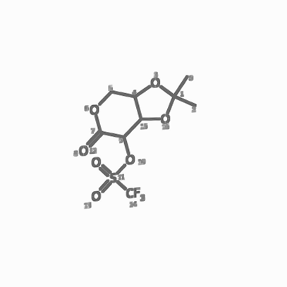 CC1(C)OC2COC(=O)C(OS(=O)(=O)C(F)(F)F)C2O1